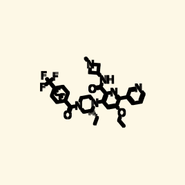 CCOc1cc(N2CCN(C(=O)C34CCC(C(F)(F)F)(CC3)CC4)C[C@H]2CC)c(C(=O)NC2CN(C)C2)nc1-c1cccnc1